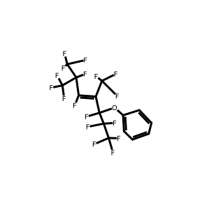 F/C(=C(/C(F)(F)F)C(F)(Oc1ccccc1)C(F)(F)C(F)(F)F)C(F)(C(F)(F)F)C(F)(F)F